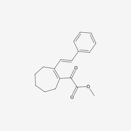 COC(=O)C(=O)C1=C(C=Cc2ccccc2)CCCCC1